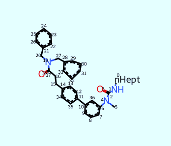 CCCCCCCNC(=O)N(C)c1cccc(-c2ccc(CCC(=O)N(Cc3ccccc3)Cc3ccccc3)cc2)c1